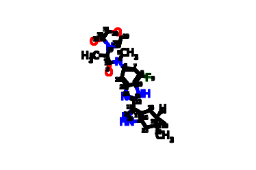 CC(C(=O)N(C)c1cc(F)c2[nH]c(-c3n[nH]c4c3C[C@@H]3C[C@]3(C)C4)nc2c1)N1CCOCC1=O